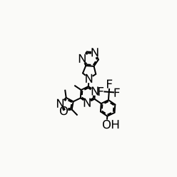 Cc1noc(C)c1-c1nc(-c2cc(O)ccc2C(F)(F)F)nc(N2Cc3cncnc3C2)c1C